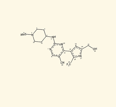 CSN1CCC(Nc2ncc(C#N)c(-c3sc(CO)nc3C(F)(F)F)n2)CC1